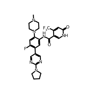 CN1CCN(c2cc(F)c(-c3cnc(N4CCCC4)nc3)cc2NC(=O)c2c[nH]c(=O)cc2C(F)(F)F)CC1